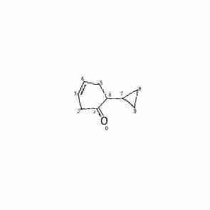 O=C1CC=CCC1C1CC1